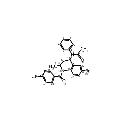 CC(=O)N(c1ccccc1)C1CC(C)N(C(=O)c2ccc(F)cc2)c2ccc(Br)cc21